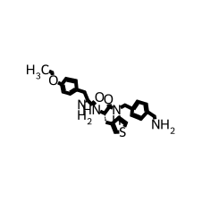 CCOc1ccc(C[C@@H](N)C(=O)N[C@@H](Cc2ccsc2)C(=O)NCc2ccc(CN)cc2)cc1